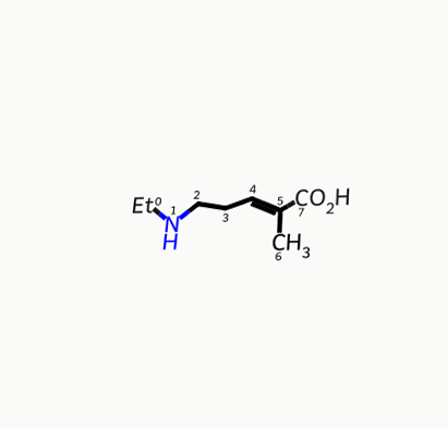 CCNCC/C=C(\C)C(=O)O